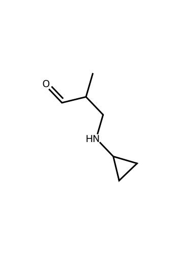 CC(C=O)CNC1CC1